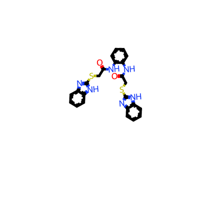 O=C(CSc1nc2ccccc2[nH]1)Nc1ccccc1NC(=O)CSc1nc2ccccc2[nH]1